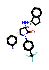 O=C1[C@@H](N[C@@H]2CCc3ccccc32)C[C@@H](c2cccc(I)c2)N1c1ccc(C(F)(F)F)cc1